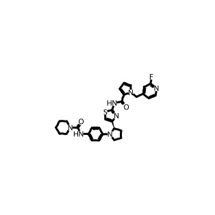 O=C(Nc1nc([C@H]2CCCN2c2ccc(NC(=O)N3CCCCC3)cc2)cs1)c1cccn1Cc1ccnc(F)c1